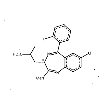 CNC1=Nc2ccc(Cl)cc2C(c2ccccc2F)=N[C@H]1CC(C)C(=O)O